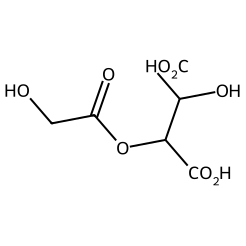 O=C(CO)OC(C(=O)O)C(O)C(=O)O